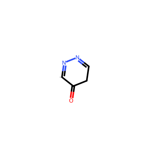 O=C1[C]=NN=CC1